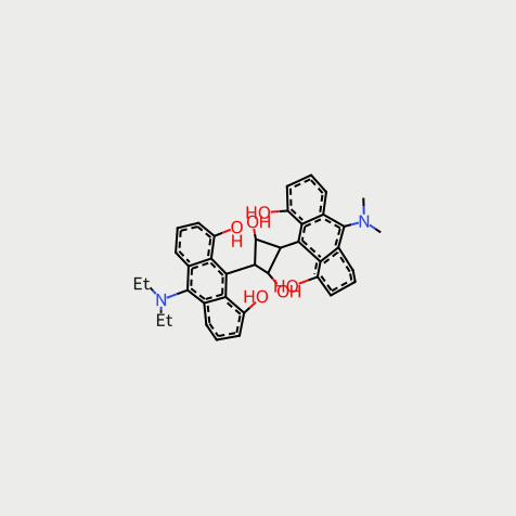 CCN(CC)c1c2cccc(O)c2c(C2C(O)C(c3c4c(O)cccc4c(N(C)C)c4cccc(O)c34)C2O)c2c(O)cccc12